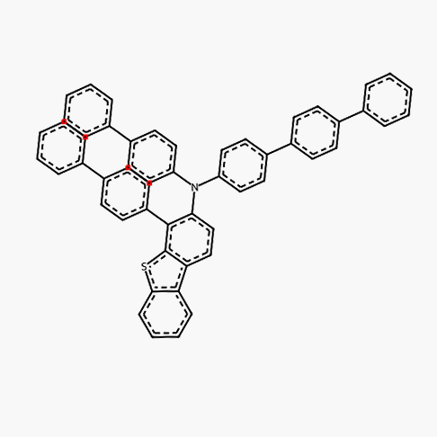 c1ccc(-c2ccc(-c3ccc(N(c4ccc(-c5ccccc5)cc4)c4ccc5c(sc6ccccc65)c4-c4ccc(-c5ccccc5)cc4)cc3)cc2)cc1